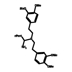 CCCCCC(N)N(CCc1ccc(OC)c(OC)c1)CCc1ccc(OC)c(OC)c1